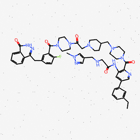 CCc1cccc(-c2cnc(C(=O)N3CCN(CC4CCN(CC(=O)N5CCN(C(=O)c6cc(Cc7n[nH]c(=O)c8ccccc78)ccc6F)CC5)CC4)CC3)c(NC(=O)CNCc3cnn(C)c3)c2)c1